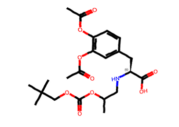 CC(=O)Oc1ccc(C[C@H](NCC(C)OC(=O)OCC(C)(C)C)C(=O)O)cc1OC(C)=O